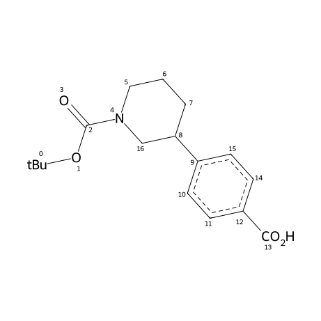 CC(C)(C)OC(=O)N1CCCC(c2ccc(C(=O)O)cc2)C1